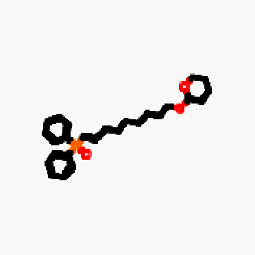 O=P(C=CCCCCCCCOC1CCCCO1)(c1ccccc1)c1ccccc1